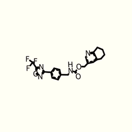 O=C(NCc1ccc(-c2noc(C(F)(F)F)n2)cc1)OCc1cnc2c(c1)CCCC2